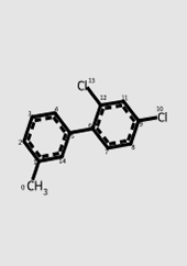 Cc1cc[c]c(-c2ccc(Cl)cc2Cl)c1